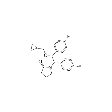 O=C1CCCN1[C@@H](c1ccc(F)cc1)[C@H](OCC1CC1)c1ccc(F)cc1